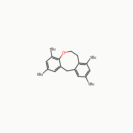 CC(C)(C)c1cc2c(c(C(C)(C)C)c1)CCOc1c(cc(C(C)(C)C)cc1C(C)(C)C)C2